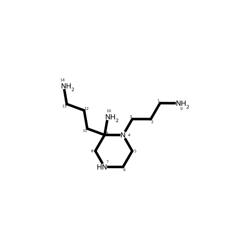 NCCCN1CCNCC1(N)CCCN